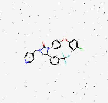 O=C1N(Cc2ccncc2)CC(c2cccc(C(F)(F)F)c2)N1c1ccc(Oc2ccc(Cl)cc2)cc1